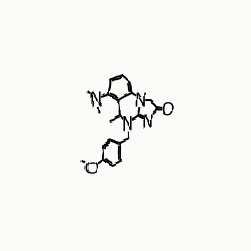 COc1ccc(CN2C3=NC(=O)CN3c3cccc(N(C)C)c3C2C)cc1